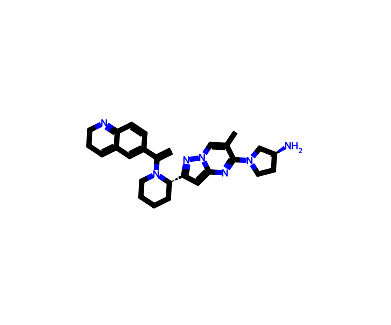 C=C(c1ccc2c(c1)=CCCN=2)N1CCCC[C@H]1c1cc2nc(N3CC[C@H](N)C3)c(C)cn2n1